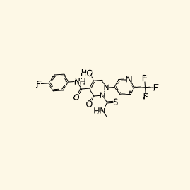 CNC(=S)N1C(=O)C(C(=O)Nc2ccc(F)cc2)=C(O)CN1c1ccc(C(F)(F)F)nc1